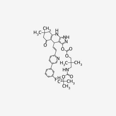 CC(C)(CNC(=O)OC(C)(C)C)COC(=O)Oc1n[nH]c2c1C(/C=C/c1ccc(-c3cccc(F)c3)cn1)C1=C(CC(C)(C)CC1=O)N2